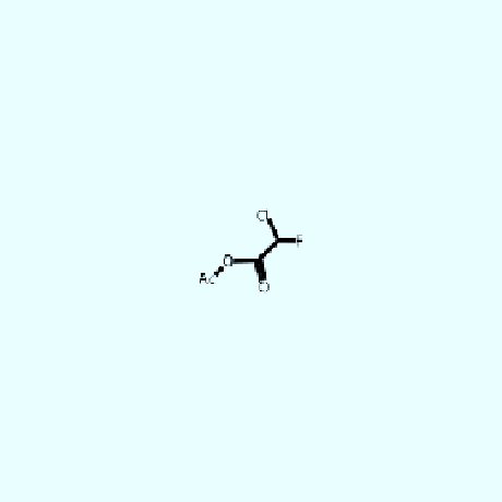 CC(=O)OC(=O)C(F)Cl